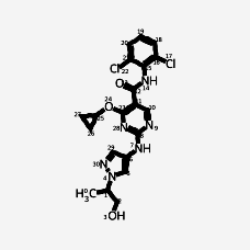 CC(CO)n1cc(Nc2ncc(C(=O)Nc3c(Cl)cccc3Cl)c(OC3CC3)n2)cn1